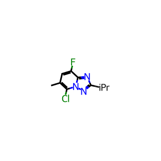 Cc1cc(F)c2nc(C(C)C)nn2c1Cl